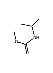 C=C(NC(C)C)OC